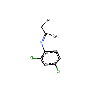 CC(=O)C/C(C)=N/c1ccc(Cl)cc1Cl